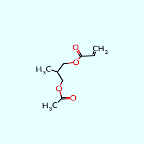 C=CC(=O)OCC(C)COC(C)=O